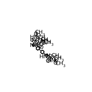 COCCOc1c(-c2ccc(-c3cnc([C@@H]4CCCCN4C(=O)[C@@H](NC(=O)OC)C(C)C)[nH]3)cc2)ccc(-c2cnc([C@@H]3CCCN3C(=O)[C@@H](NC(=O)OC)C(C)C)[nH]2)c1OCCOC